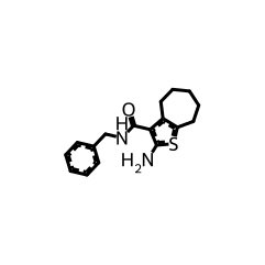 Nc1sc2c(c1C(=O)NCc1ccccc1)CCCCC2